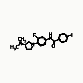 CN(C)[C@@H]1CCN(c2ccc(NC(=O)c3ccc(I)cc3)cc2F)C1